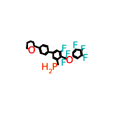 Fc1cc(OC(F)(F)c2c(F)cc(-c3ccc(C4CCCCO4)cc3)cc2CP)cc(F)c1F